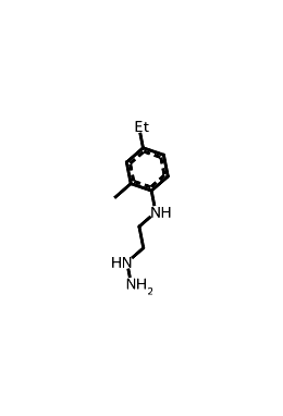 CCc1ccc(NCCNN)c(C)c1